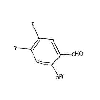 CCCc1cc(F)c(F)cc1C=O